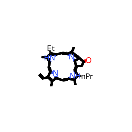 C=CC1=C(C)c2cc3[nH]c(c4c5nc(cc6[nH]c(cc1n2)c(C)c6CC)C(C)=C5C(=O)C4)C(CCC)C3C